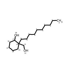 CCCCCCCCCCC1(CO)CCCCC1O